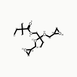 CCC(COC(=O)C(C)(C)CC)(OCC1CO1)OCC1CO1